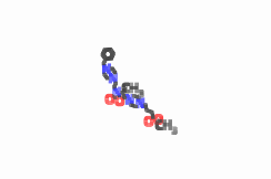 COC(=O)CCCN1CCN(C2OC(=O)N(CCN3CCN(Cc4ccccc4)CC3)C2C)CC1